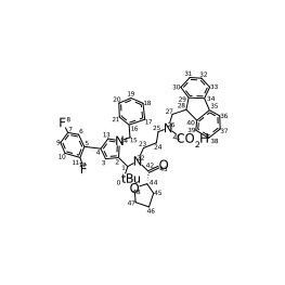 CC(C)(C)C(c1cc(-c2cc(F)ccc2F)cn1Cc1ccccc1)N(CCCN(CC1c2ccccc2-c2ccccc21)C(=O)O)C(=O)[C@@H]1CCCO1